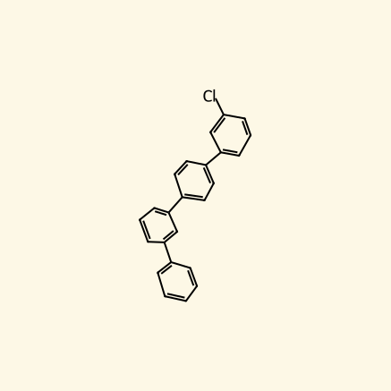 Clc1cccc(-c2ccc(-c3cccc(-c4ccccc4)c3)cc2)c1